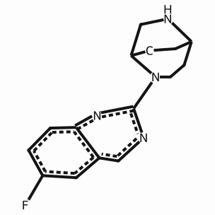 Fc1ccc2nc(N3CCC4CCC3CN4)ncc2c1